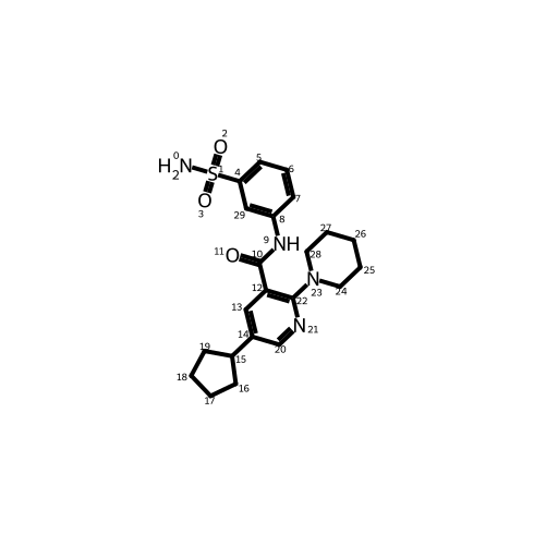 NS(=O)(=O)c1cccc(NC(=O)c2cc(C3CCCC3)cnc2N2CCCCC2)c1